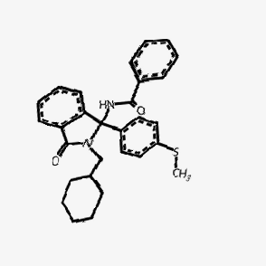 CSc1ccc(C2(NC(=O)c3ccccc3)c3ccccc3C(=O)N2CC2CCCCC2)cc1